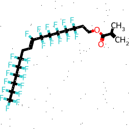 C=C(C)C(=O)OCCC(F)(F)C(F)(F)C(F)(F)C(F)(F)C(F)(F)C(F)=CCC(F)(F)C(F)(F)C(F)(F)C(F)(F)C(F)(F)C(F)(F)F